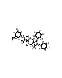 O=C(Nc1cc(F)cc(F)c1)N1CCC2(CC1)C(=O)N(c1ccccc1)C2c1ccccc1